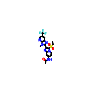 CCS(=O)(=O)c1c(-c2nc3cc(C(F)(F)F)cnc3n2C)nc2cc(NC(C)=O)ccn12